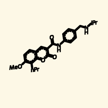 CCCc1c(OC)ccc2cc(C(=O)Nc3ccc(CNC(C)C)cc3)c(=O)oc12